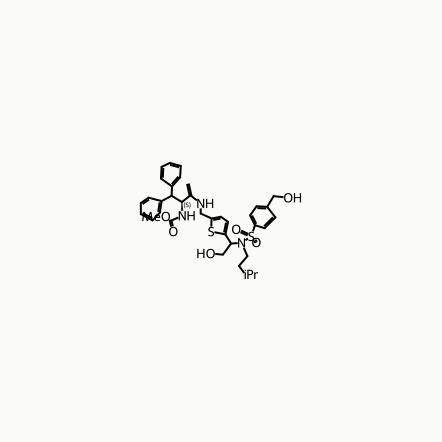 C=C(NCc1ccc(C(CO)N(CCC(C)C)S(=O)(=O)c2ccc(CO)cc2)s1)[C@@H](NC(=O)OC)C(c1ccccc1)c1ccccc1